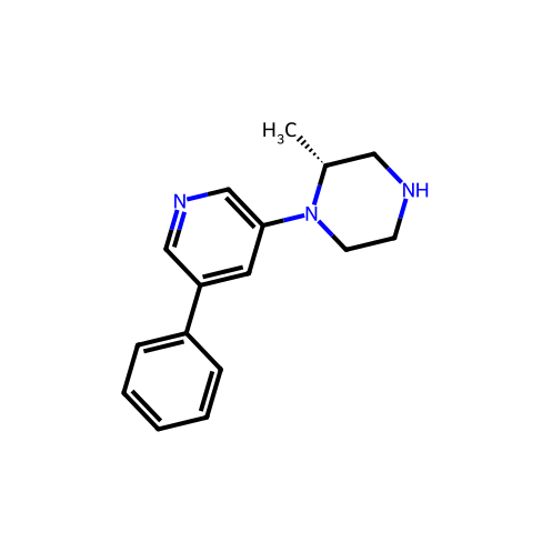 C[C@@H]1CNCCN1c1cncc(-c2ccccc2)c1